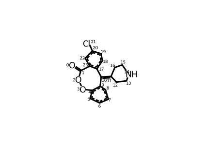 O=C1OOc2ccccc2C(=C2CCNCC2)c2ccc(Cl)cc21